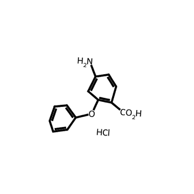 Cl.Nc1ccc(C(=O)O)c(Oc2ccccc2)c1